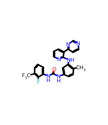 Cc1ccc(NC(=O)Nc2cccc(C(F)(F)F)c2F)cc1Nc1ncccc1-c1ccncn1